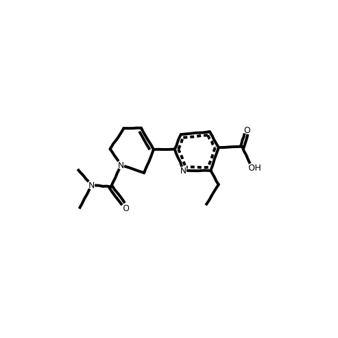 CCc1nc(C2=CCCN(C(=O)N(C)C)C2)ccc1C(=O)O